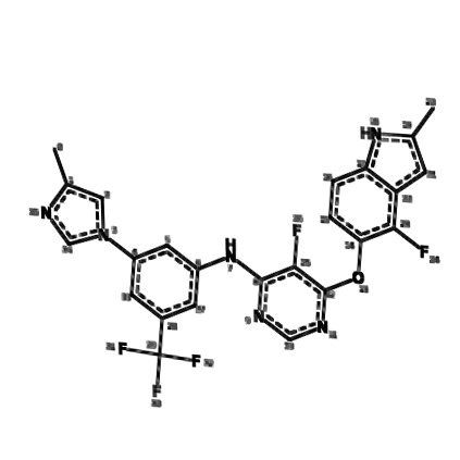 Cc1cn(-c2cc(Nc3ncnc(Oc4ccc5[nH]c(C)cc5c4F)c3F)cc(C(F)(F)F)c2)cn1